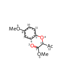 COC(=O)C(Oc1ccc(OC)cc1)C(C)=O